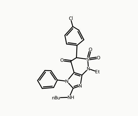 CCCCNc1nc2c(n1-c1ccccc1)C(=O)C(c1ccc(Cl)cc1)S(=O)(=O)N2CC